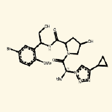 COc1ccc(Br)cc1C(CO)NC(=O)C1CC(O)CN1C(=O)[C@@H](n1cc(C2CC2)nn1)C(C)(C)C